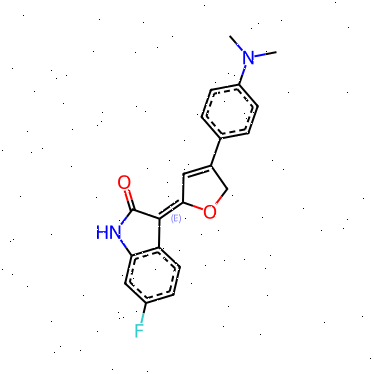 CN(C)c1ccc(C2=C/C(=C3\C(=O)Nc4cc(F)ccc43)OC2)cc1